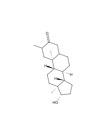 CC1C[C@@]2(C)C(CC[C@H]3[C@@H]4CC[C@H](O)[C@@]4(C)CC[C@@H]32)CC1=O